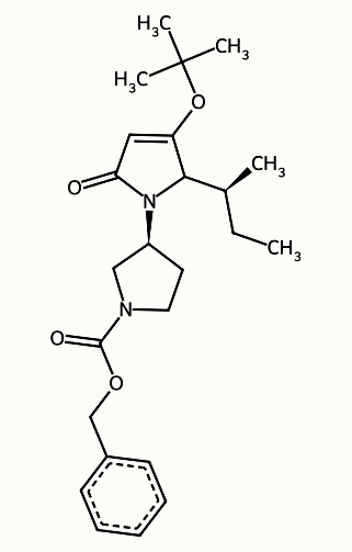 CC[C@H](C)C1C(OC(C)(C)C)=CC(=O)N1[C@H]1CCN(C(=O)OCc2ccccc2)C1